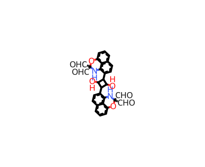 O=CC1(C=O)Nc2c(C3C(O)C(c4ccc5cccc6c5c4NC(C=O)(C=O)O6)C3O)ccc3cccc(c23)O1